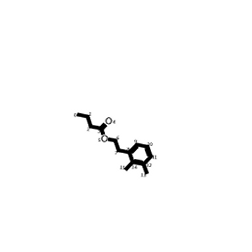 CCCC(=O)OCCc1cccc(C)c1C